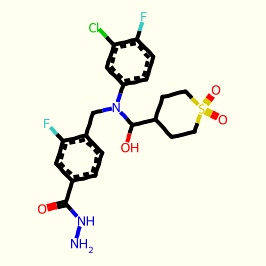 NNC(=O)c1ccc(CN(c2ccc(F)c(Cl)c2)C(O)C2CCS(=O)(=O)CC2)c(F)c1